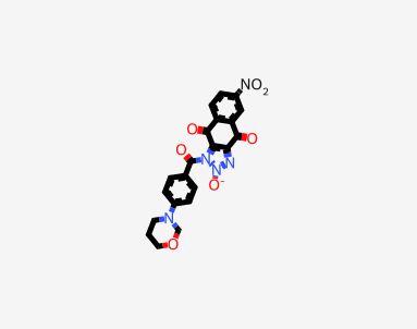 O=C1c2cc([N+](=O)[O-])ccc2C(=O)c2c1n[n+]([O-])n2C(=O)c1ccc(N2CCCOC2)cc1